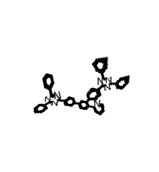 c1ccc(-c2nc(-c3ccccc3)nc(-c3ccc(-c4ccc(-c5ccccn5)c(-c5ccc(-c6nc(-c7ccccc7)nc(-c7ccccc7)n6)cc5)c4)cc3)n2)cc1